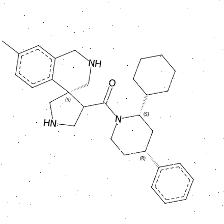 Cc1ccc2c(c1)CNC[C@]21CNCC1C(=O)N1CC[C@@H](c2ccccc2)C[C@H]1C1CCCCC1